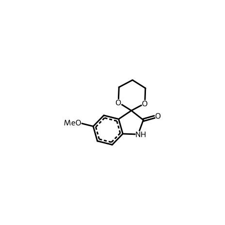 COc1ccc2c(c1)C1(OCCCO1)C(=O)N2